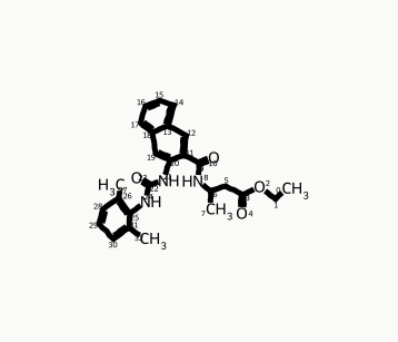 CCOC(=O)CC(C)NC(=O)c1cc2ccccc2cc1NC(=O)Nc1c(C)cccc1C